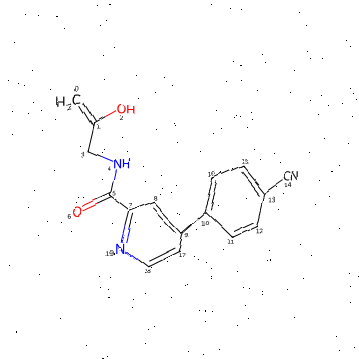 C=C(O)CNC(=O)c1cc(-c2ccc(C#N)cc2)ccn1